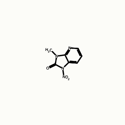 Cn1c(=O)n([N+](=O)[O-])c2cccnc21